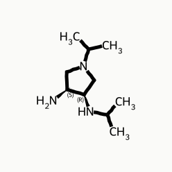 CC(C)N[C@@H]1CN(C(C)C)C[C@@H]1N